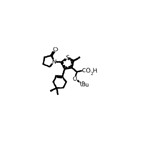 Cc1sc(N2CCCC2=O)c(C2=CCC(C)(C)CC2)c1C(OC(C)(C)C)C(=O)O